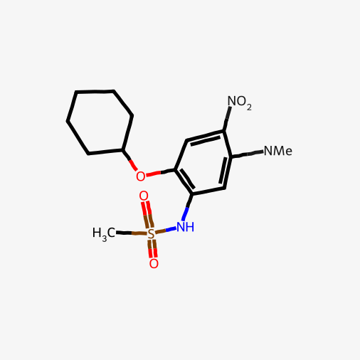 CNc1cc(NS(C)(=O)=O)c(OC2CCCCC2)cc1[N+](=O)[O-]